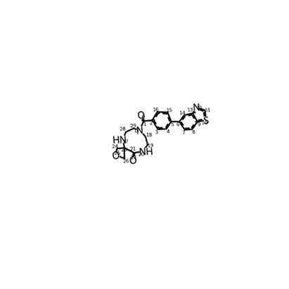 O=C(c1ccc(-c2ccc3scnc3c2)cc1)N1CCNC(=O)C2(COC2)NCC1